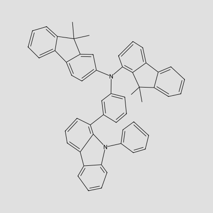 CC1(C)c2ccccc2-c2ccc(N(c3cccc(-c4cccc5c6ccccc6n(-c6ccccc6)c45)c3)c3cccc4c3C(C)(C)c3ccccc3-4)cc21